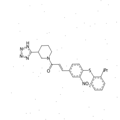 CC(C)c1ccccc1Sc1ccc(C=CC(=O)N2CCCC(c3nnn[nH]3)C2)cc1[N+](=O)[O-]